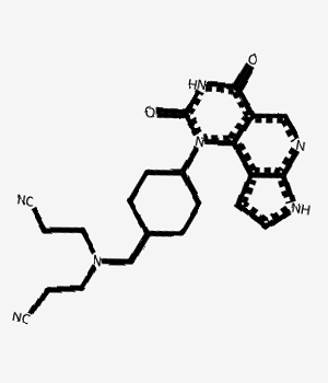 N#CCCN(CCC#N)CC1CCC(n2c(=O)[nH]c(=O)c3cnc4[nH]ccc4c32)CC1